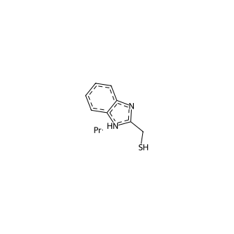 SCc1nc2ccccc2[nH]1.[Pr]